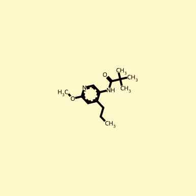 CCCc1cc(OC)ncc1NC(=O)C(C)(C)C